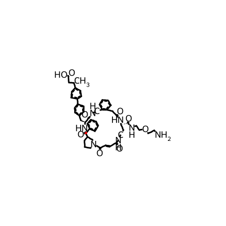 C[C@H](CC(=O)O)c1ccc(-c2ccc(C[C@@H]3NC(=O)[C@]4(Cc5ccccc5)CCCN(C4)C(=O)/C=C/C(=O)NCC[C@@H](C(=O)NCCOCCN)NC(=O)Cc4ccccc4CNC3=O)cc2)cc1